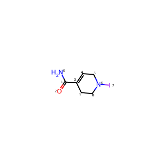 NC(=O)C1=CCN(I)CC1